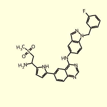 CS(=O)(=O)CC(N)c1ccc(-c2ccc3ncnc(Nc4ccc5c(cnn5Cc5cccc(F)c5)c4)c3c2)[nH]1